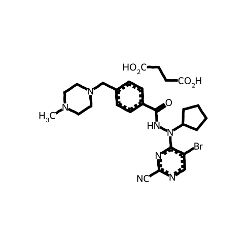 CN1CCN(Cc2ccc(C(=O)NN(c3nc(C#N)ncc3Br)C3CCCC3)cc2)CC1.O=C(O)CCC(=O)O